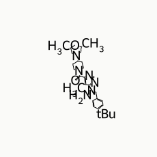 Cc1c(C(=O)N2CCC(N3CC(C)OC(C)C3)CC2)ncnc1N(N)Cc1ccc(C(C)(C)C)cc1